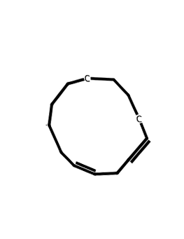 [CH]1C/C=C\C/C=C\CCCCCC1